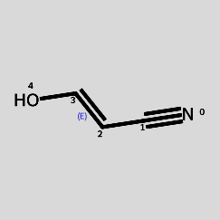 N#C/C=C/O